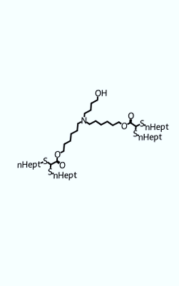 CCCCCCCSC(SCCCCCCC)C(=O)OCCCCCCN(CCCCO)CCCCCCOC(=O)C(SCCCCCCC)SCCCCCCC